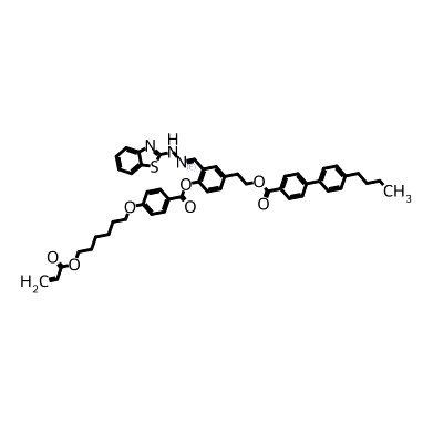 C=CC(=O)OCCCCCCOc1ccc(C(=O)Oc2ccc(CCOC(=O)c3ccc(-c4ccc(CCCC)cc4)cc3)cc2/C=N/Nc2nc3ccccc3s2)cc1